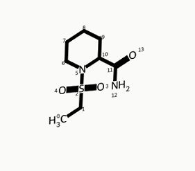 CCS(=O)(=O)N1CCC[CH]C1C(N)=O